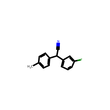 Cc1ccc(C(C#N)c2cccc(F)c2)cc1